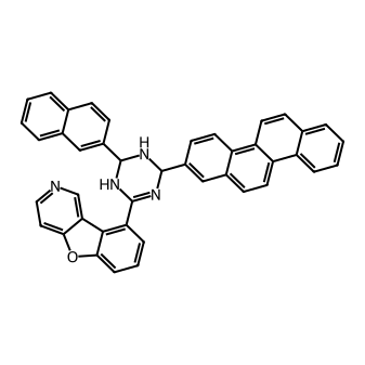 c1ccc2cc(C3NC(c4cccc5oc6ccncc6c45)=NC(c4ccc5c(ccc6c7ccccc7ccc56)c4)N3)ccc2c1